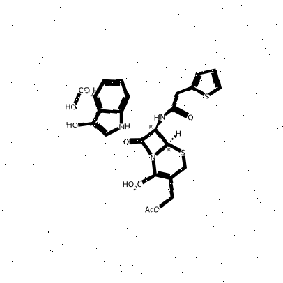 CC(=O)OCC1=C(C(=O)O)N2C(=O)[C@@H](NC(=O)Cc3cccs3)[C@H]2SC1.O=C(O)O.Oc1c[nH]c2ccccc12